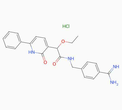 CCOC(C(=O)NCc1ccc(C(=N)N)cc1)c1ccc(-c2ccccc2)[nH]c1=O.Cl